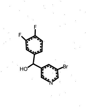 OC(c1cncc(Br)c1)c1ccc(F)c(F)c1